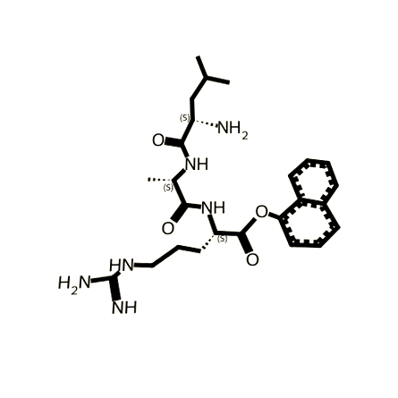 CC(C)C[C@H](N)C(=O)N[C@@H](C)C(=O)N[C@@H](CCCNC(=N)N)C(=O)Oc1cccc2ccccc12